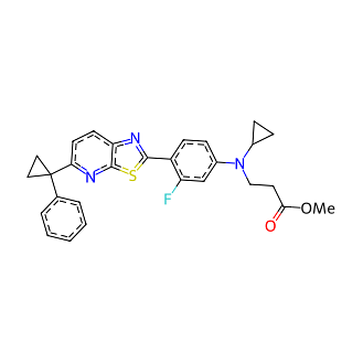 COC(=O)CCN(c1ccc(-c2nc3ccc(C4(c5ccccc5)CC4)nc3s2)c(F)c1)C1CC1